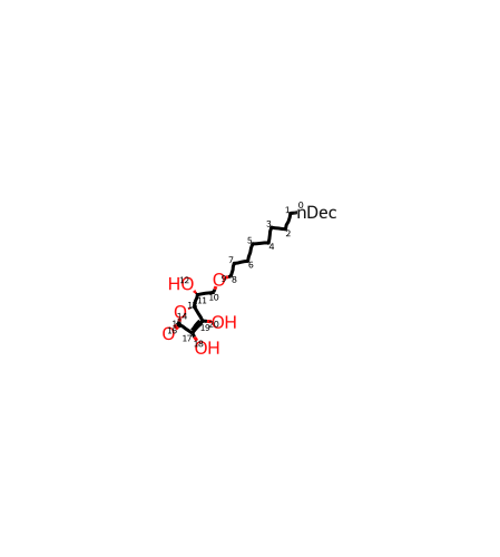 CCCCCCCCCCCCCCCCCCOC[C@H](O)[C@H]1OC(=O)C(O)=C1O